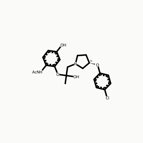 CC(=O)Nc1ccc(O)cc1OC(C)(O)CN1CC[C@H](Oc2ccc(Cl)cc2)C1